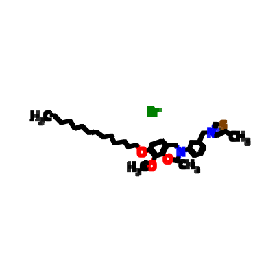 CCCCCCCCCCCCCCOc1ccc(CN(C(C)=O)c2cccc(C[n+]3csc(C)c3)c2)cc1OC.[Br-]